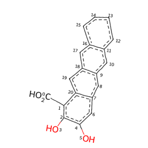 O=C(O)c1c(O)c(O)cc2cc3cc4ccccc4cc3cc12